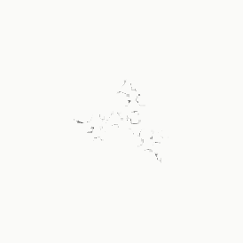 N#Cc1ccc(-c2ccc(N(c3ccc(-c4ccc(C#N)c5ccccc45)cc3)c3ccc4sc5ccccc5c4c3)cc2)c2ccccc12